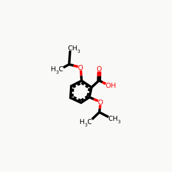 CC(C)Oc1cccc(OC(C)C)c1C(=O)O